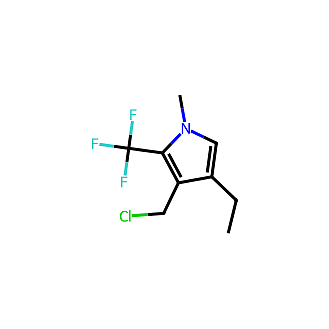 CCc1cn(C)c(C(F)(F)F)c1CCl